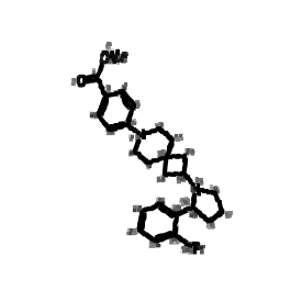 COC(=O)c1ccc(N2CCC3(CC2)CC(N2CCC[C@H]2c2ccccc2C(C)C)C3)cc1